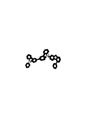 c1ccc(-c2cccc3c2-c2ccc(-n4c5ccccc5c5cc(-c6ccc7c(c6)c6ccccc6n7-c6ccccc6)ccc54)cc2C3)cc1